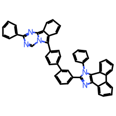 c1ccc(-c2ncn3c(-c4ccc(-c5cccc(-c6nc7c8ccccc8c8ccccc8c7n6-c6ccccc6)c5)cc4)c4ccccc4c3n2)cc1